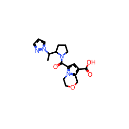 CC(C1CCCN1C(=O)c1cc(C(=O)O)c2n1CCOC2)n1cccn1